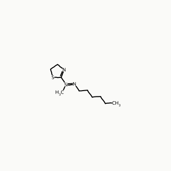 CCCCCCN=[Si](C)C1=NCCS1